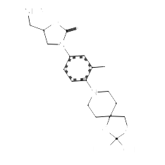 CC(=O)NCC1CN(c2ccc(N3CCC4(CC3)COC(C)(C)O4)c(F)c2)C(=O)O1